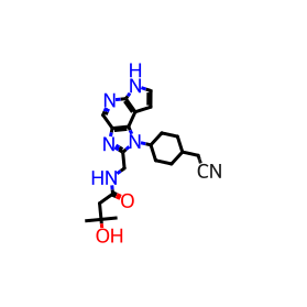 CC(C)(O)CC(=O)NCc1nc2cnc3[nH]ccc3c2n1C1CCC(CC#N)CC1